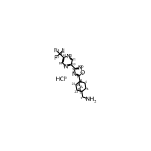 Cl.NCC12CCC(c3nc(-c4cnc(C(F)(F)F)cn4)no3)(CC1)CC2